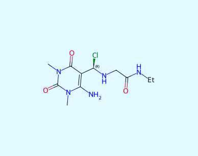 CCNC(=O)CN[C@H](Cl)c1c(N)n(C)c(=O)n(C)c1=O